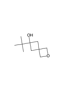 CC(C)(C)C1(O)CC2(COC2)C1